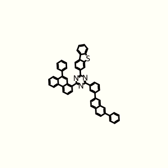 c1ccc(-c2ccc3ccc(-c4cccc(-c5nc(-c6ccc7c(c6)sc6ccccc67)nc(-c6cccc7c6cc(-c6ccccc6)c6ccccc67)n5)c4)cc3c2)cc1